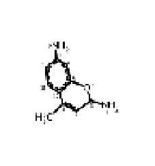 CC1=CC(N)Oc2cc(N)ccc21